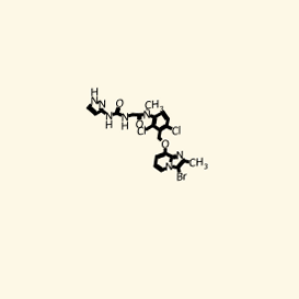 Cc1nc2c(OCc3c(Cl)ccc(N(C)C(=O)CNC(=O)Nc4cc[nH]n4)c3Cl)cccn2c1Br